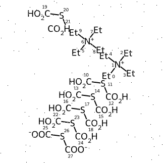 CC[N+](CC)(CC)CC.CC[N+](CC)(CC)CC.O=C(O)SC(=O)O.O=C(O)SC(=O)O.O=C(O)SC(=O)O.O=C(O)SC(=O)O.O=C(O)SC(=O)O.O=C([O-])SC(=O)[O-]